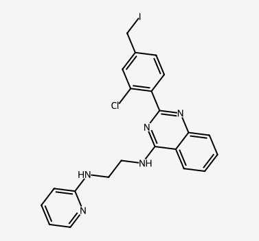 Clc1cc(CI)ccc1-c1nc(NCCNc2ccccn2)c2ccccc2n1